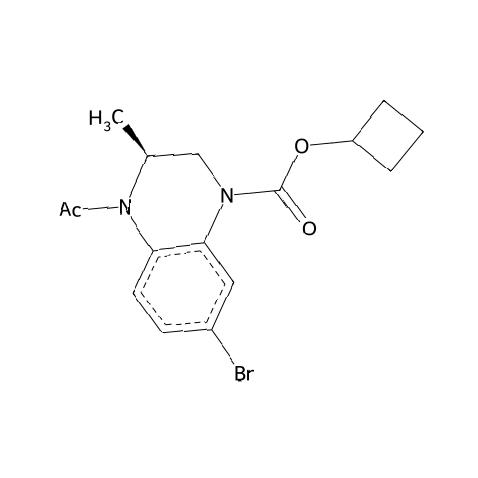 CC(=O)N1c2ccc(Br)cc2N(C(=O)OC2CCC2)C[C@@H]1C